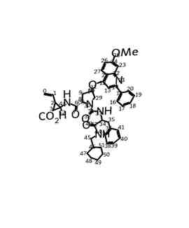 C=CC1CC1(NC(=O)[C@@H]1C[C@@H](Oc2cc(-c3ccccc3)nc3cc(OC)ccc23)CN1C(=O)NC(Cc1ccccc1)C(=O)NCC1CCCCC1)C(=O)O